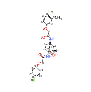 Cc1cc(OCC(=O)NC23CCC(NC(=O)COc4ccc(F)cc4)(CC2)[C@@H](O)C3)ccc1F